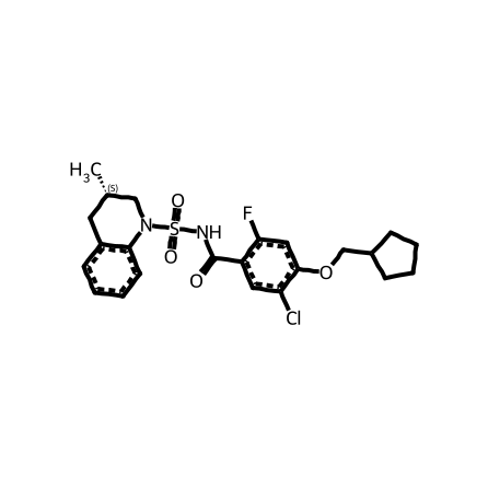 C[C@H]1Cc2ccccc2N(S(=O)(=O)NC(=O)c2cc(Cl)c(OCC3CCCC3)cc2F)C1